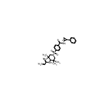 C=CC(=O)NC1C(C)(C)CN(S(=O)(=O)c2ccc(C(=O)N[C@@H]3CC3c3ccccc3)cc2)CC1(C)C